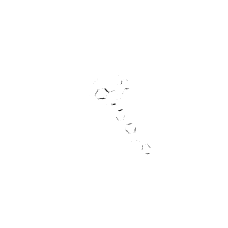 COc1ccc([C@H](Cc2c(Cl)cncc2Cl)OC(=O)c2ccc(-c3ccc(CNc4ccccc4F)cc3)cc2)cc1OC